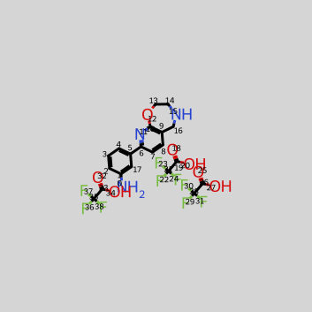 Nc1cccc(-c2ccc3c(n2)OCCNC3)c1.O=C(O)C(F)(F)F.O=C(O)C(F)(F)F.O=C(O)C(F)(F)F